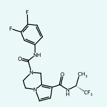 C[C@@H](NC(=O)c1ccn2c1CN(C(=O)Nc1ccc(F)c(F)c1)CC2)C(F)(F)F